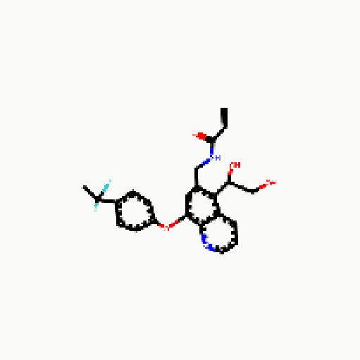 C=CC(=O)NCc1cc(Oc2ccc(C(C)(F)F)cc2)c2ncccc2c1C(O)CO